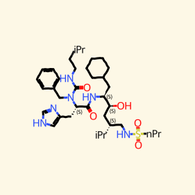 CCCS(=O)(=O)NC[C@@H](C[C@H](O)[C@H](CC1CCCCC1)NC(=O)[C@H](Cc1c[nH]cn1)N(Cc1ccccc1)C(=O)NCCC(C)C)C(C)C